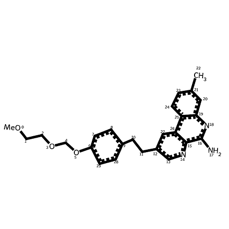 COCCOCOc1ccc(CCc2cnc3c(N)nc4cc(C)ccc4c3c2)cc1